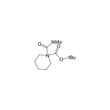 [CH2]NC(=O)[N+]1(C(=O)OC(C)(C)C)CCCCC1